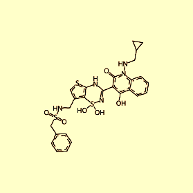 O=c1c(C2=NS(O)(O)c3c(CNS(=O)(=O)Cc4ccccc4)csc3N2)c(O)c2ccccc2n1NCC1CC1